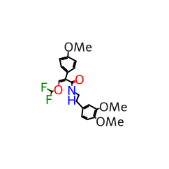 COc1ccc(C(=COC(F)F)C(=O)NCCc2ccc(OC)c(OC)c2)cc1